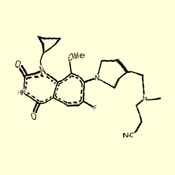 COc1c(N2CCC(CN(C)CCC#N)C2)c(F)cc2c(=O)[nH]c(=O)n(C3CC3)c12